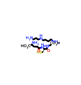 NCCCCNCCCN.N[C@@H](CCC(=O)N[C@@H](CS)C(=O)NCC(=O)O)C(=O)O